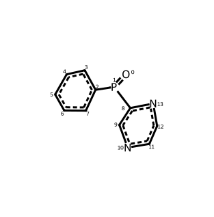 O=[P](c1ccccc1)c1cnccn1